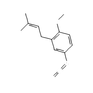 COc1ccc(N=C=O)cc1CC=C(C)C